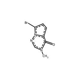 Cn1cnn2c(Br)ccc2c1=O